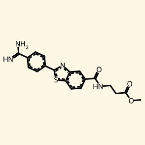 COC(=O)CCNC(=O)c1ccc2sc(-c3ccc(C(=N)N)cc3)nc2c1